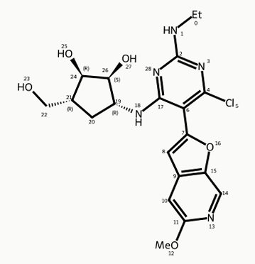 CCNc1nc(Cl)c(-c2cc3cc(OC)ncc3o2)c(N[C@@H]2C[C@H](CO)[C@@H](O)[C@H]2O)n1